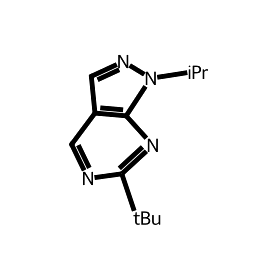 CC(C)n1ncc2cnc(C(C)(C)C)nc21